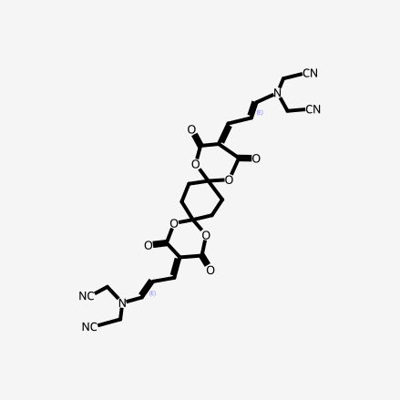 N#CCN(/C=C/C=C1C(=O)OC2(CCC3(CC2)OC(=O)C(=C/C=C/N(CC#N)CC#N)C(=O)O3)OC1=O)CC#N